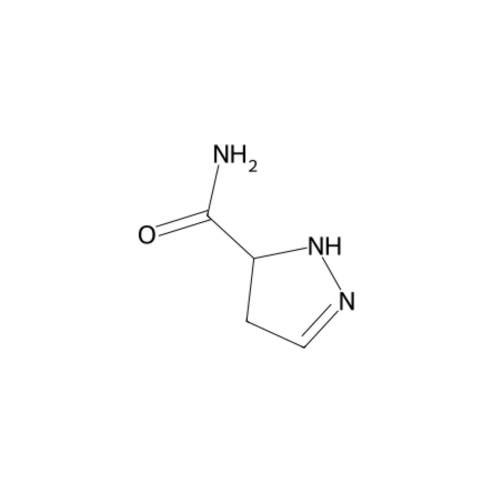 NC(=O)C1CC=NN1